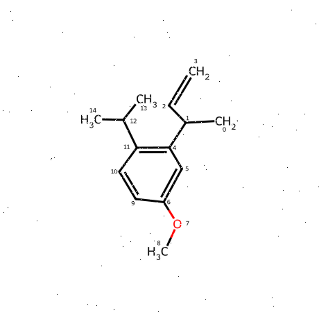 [CH2]C(C=C)c1cc(OC)ccc1C(C)C